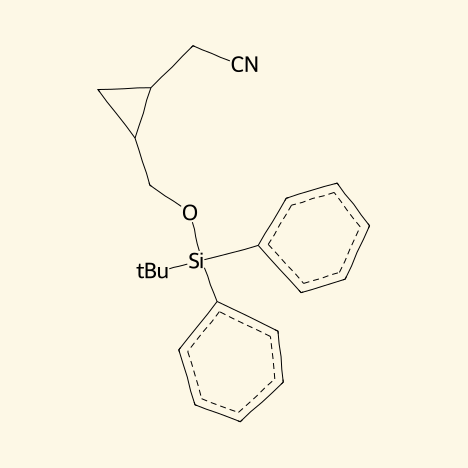 CC(C)(C)[Si](OCC1CC1CC#N)(c1ccccc1)c1ccccc1